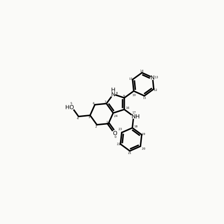 O=C1CC(CO)Cc2[nH]c(-c3ccncc3)c(Nc3ccccc3)c21